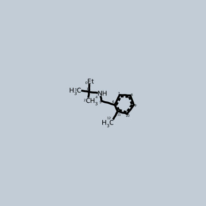 CCC(C)(C)NCc1ccccc1C